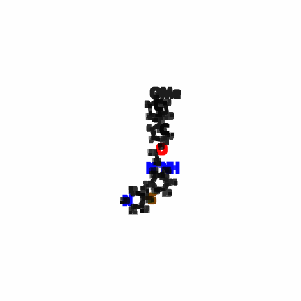 COC12CCC(c3ccc(OCc4nc5cc(Sc6ccncc6)ccc5[nH]4)cc3)(CC1)CC2